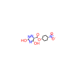 O=C(Oc1ccc([N+](=O)[O-])cc1)c1nnc(O)nc1O